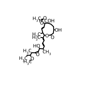 CCC(OC)C(C)C1OC1C(O)C(C)/C=C/C=C(\C)C1OC(=O)CC(O)CC[C@@](C)(O)[C@@H](OC(C)=O)/C=C/C1C